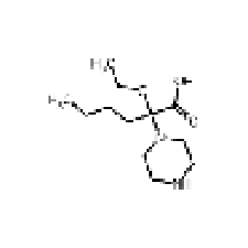 CCCCC(OCC)(C(=O)O)N1CCNCC1